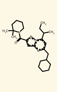 CCC(C)c1cc(CC2CCCCC2)nc2cc(C(=O)N3CCCCC3(C)C)nn12